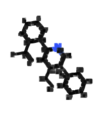 C=C(C)c1ccccc1-c1cc(CC)c(-c2ccccc2)cn1